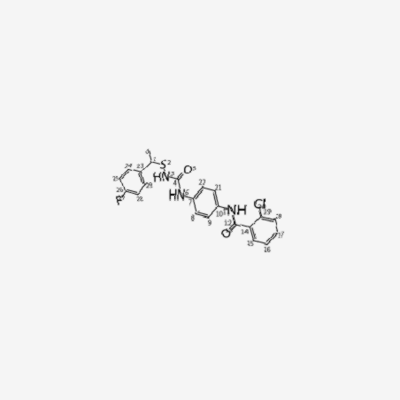 CC(SNC(=O)Nc1ccc(NC(=O)c2ccccc2Cl)cc1)c1ccc(F)cc1